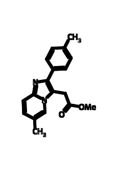 COC(=O)Cc1c(-c2ccc(C)cc2)nc2ccc(C)cn12